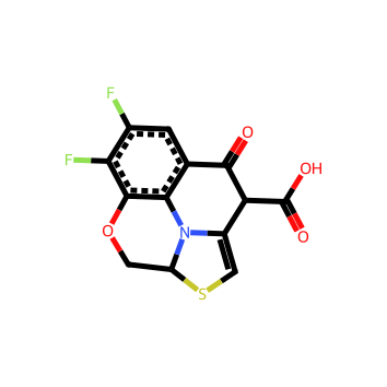 O=C(O)C1C(=O)c2cc(F)c(F)c3c2N2C1=CSC2CO3